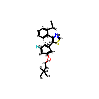 CC(C)c1ccccc1-c1ncsc1-c1cc(F)cc(OCCC(C)(C)C)c1